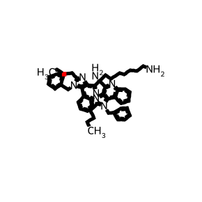 CCCCc1nc2c(C(N)(CCCCCCCN)c3nc4ccccc4c4c3nc(CCCC)n4Cc3ccccc3)nc3ccccc3c2n1Cc1ccccc1